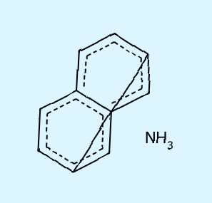 N.c1cc2ccc3cc2cc1-3